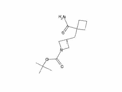 CC1(CC2(C(N)=O)CCC2)CN(C(=O)OC(C)(C)C)C1